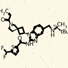 C=CC(=O)N1CC[C@]2(C1)C[C@H](n1c(NC(=O)c3ccc(C(F)F)s3)nc3cc(CN[C@@H](C)C(C)(C)C)ccc31)C2